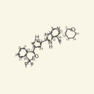 O=C(c1c[nH]c(-c2nc3cnc([C@H]4CCCOC4)c(F)c3[nH]2)c1)c1ccccc1C(F)(F)F